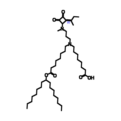 CCCCCCCCC(CCCCCCCC)OC(=O)CCCCCCCN(CCCCCCCC(=O)O)CCCN(C)C1C(=O)C(=O)/C1=C(/C)CC